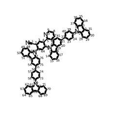 N#Cc1cc(-c2ccccn2)c(-n2c3ccccc3c3cc(-c4ccc(-n5c6ccccc6c6ccccc65)cc4)ccc32)cc1-n1c2ccccc2c2cc(-c3ccc(-n4c5ccccc5c5ccccc54)cc3)ccc21